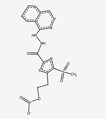 CS(=O)(=O)c1nc(C(=O)NNc2nncc3ccccc23)sc1CCO[N+](=O)[O-]